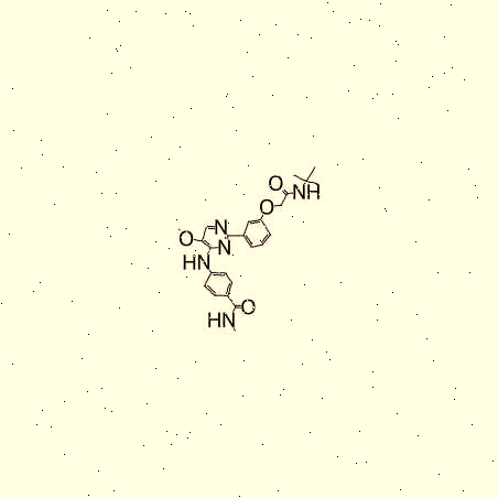 CNC(=O)c1ccc(Nc2nc(-c3cccc(OCC(=O)NC(C)(C)C)c3)ncc2OC)cc1